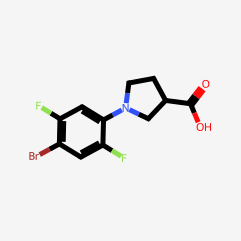 O=C(O)C1CCN(c2cc(F)c(Br)cc2F)C1